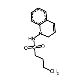 CCCCS(=O)(=O)NN1CC=Cc2ccccc21